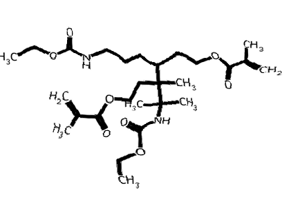 C=C(C)C(=O)OCCC(CCCNC(=O)OCC)C(C)(CCOC(=O)C(=C)C)C(C)(C)NC(=O)OCC